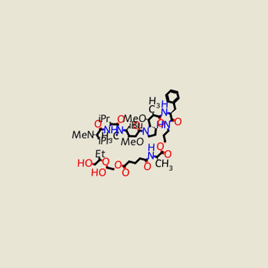 CCC(CO)OC(O)COC(=O)CCCC(=O)N[C@@H](C)C(=O)OCCCNC(=O)[C@H](Cc1ccccc1)NC(=O)[C@H](C)[C@@H](OC)[C@@H]1CCCN1C(=O)C[C@@H](OC)[C@H](C(C)CC)N(C)C(=O)[C@@H](NC(=O)[C@@H](NC)C(C)C)C(C)C